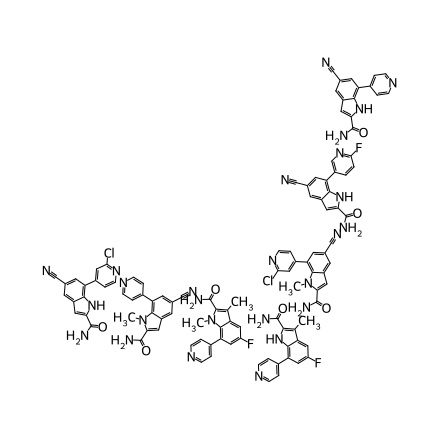 Cc1c(C(N)=O)[nH]c2c(-c3ccncc3)cc(F)cc12.Cc1c(C(N)=O)n(C)c2c(-c3ccncc3)cc(F)cc12.Cn1c(C(N)=O)cc2cc(C#N)cc(-c3ccnc(Cl)c3)c21.Cn1c(C(N)=O)cc2cc(C#N)cc(-c3ccncc3)c21.N#Cc1cc(-c2ccc(F)nc2)c2[nH]c(C(N)=O)cc2c1.N#Cc1cc(-c2ccnc(Cl)c2)c2[nH]c(C(N)=O)cc2c1.N#Cc1cc(-c2ccncc2)c2[nH]c(C(N)=O)cc2c1